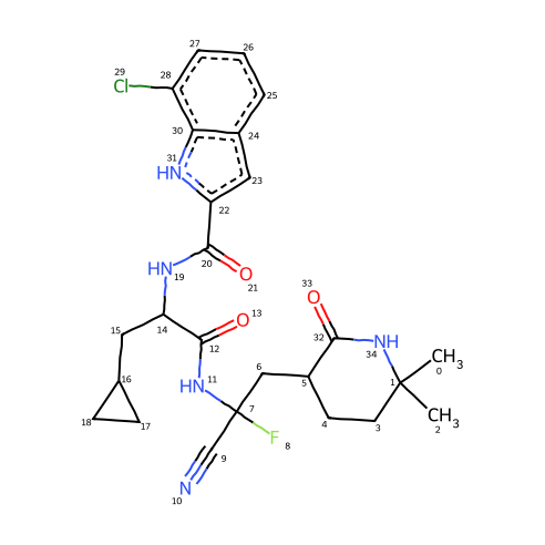 CC1(C)CCC(CC(F)(C#N)NC(=O)C(CC2CC2)NC(=O)c2cc3cccc(Cl)c3[nH]2)C(=O)N1